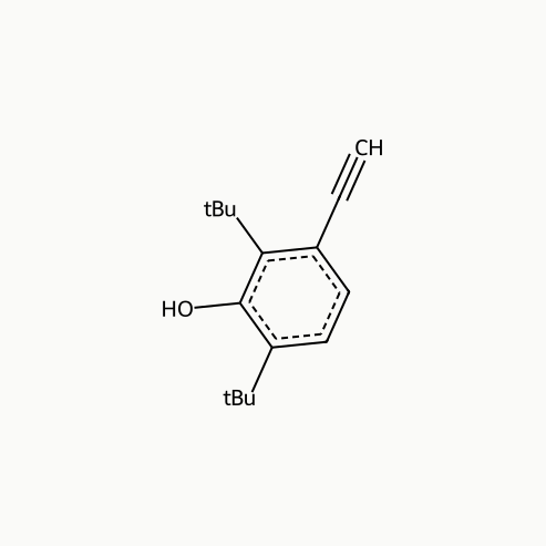 C#Cc1ccc(C(C)(C)C)c(O)c1C(C)(C)C